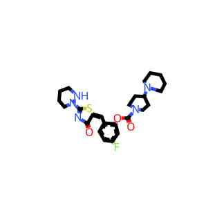 O=C1N=C(N2CCCCN2)S/C1=C/c1ccc(F)cc1OC(=O)N1CCC(N2CCCCC2)CC1